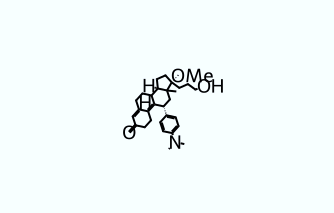 CO[C@@]1(CCCO)CC[C@H]2[C@@H]3CCC4=CC(=O)CCC4=C3[C@@H](c3ccc(N(C)C)cc3)CC21C